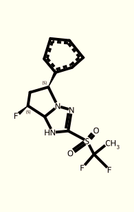 CC(F)(F)S(=O)(=O)C1=NN2C(N1)[C@@H](F)C[C@H]2c1ccccc1